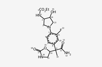 CCOC(=O)NC1CN(c2ccc(C(C)(C(N)=O)C3CNC(=O)O3)cc2F)CC1O